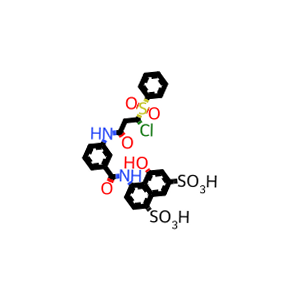 O=C(CC(Cl)S(=O)(=O)c1ccccc1)Nc1cccc(C(=O)Nc2ccc(S(=O)(=O)O)c3cc(S(=O)(=O)O)cc(O)c23)c1